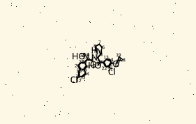 O=C(NC(CN1CCCC1)C(O)c1ccc(OC2CC2)c(Cl)c1)/C(=N/O)c1ccc2cc(Cl)ccc2c1